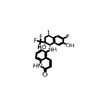 C[C@@H]1C[C@](O)(C(F)(F)F)[C@@H](Nc2cccc3[nH]c(=O)ccc23)c2cc(O)c(F)cc21